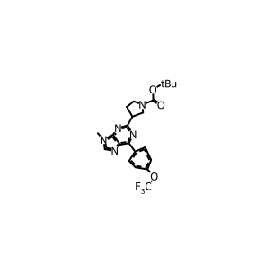 Cn1cnc2c(-c3ccc(OC(F)(F)F)cc3)nc(C3CCN(C(=O)OC(C)(C)C)C3)nc21